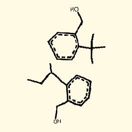 CC(C)(C)c1ccccc1CO.CCC(C)c1ccccc1CO